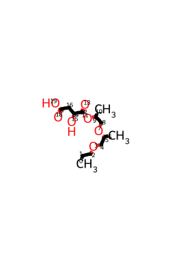 CCCOCC(C)OCC(C)OC(=O)C(O)CC(=O)O